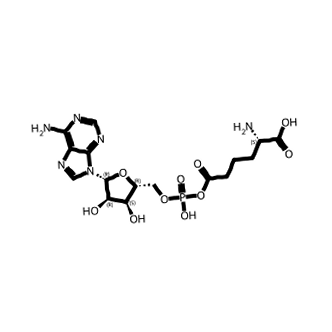 Nc1ncnc2c1ncn2[C@@H]1O[C@H](COP(=O)(O)OC(=O)CCC[C@H](N)C(=O)O)[C@@H](O)[C@H]1O